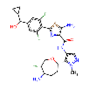 Cn1ncc(NC(=O)c2nc(-c3c(F)cc(C(O)C4CC4)cc3F)sc2N)c1[C@@H]1CC[C@@H](N)[C@H](F)CO1